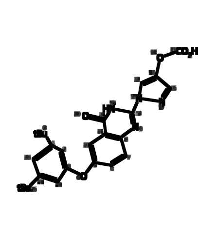 CC(C)(C)c1cc(Oc2ccc3nc(-n4cc(OC(=O)O)cn4)[nH]c(=O)c3c2)cc(C(C)(C)C)c1